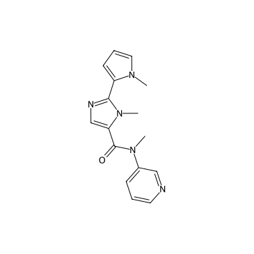 CN(C(=O)c1cnc(-c2cccn2C)n1C)c1cccnc1